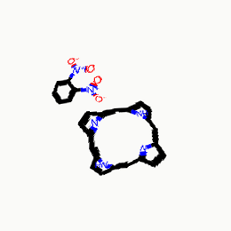 C1=Cc2cc3ccc(cc4nc(cc5ccc(cc1n2)[nH]5)C=C4)[nH]3.O=[N+]([O-])c1ccccc1[N+](=O)[O-]